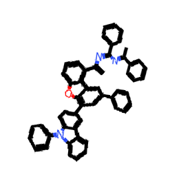 C=C(/N=C(\N=C(/C)c1ccccc1)c1ccccc1)c1cccc2oc3c(-c4ccc5c(c4)c4ccccc4n5-c4ccccc4)cc(-c4ccccc4)cc3c12